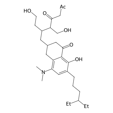 CCC(CC)CCCc1cc(N(C)C)c2c(c1O)C(=O)CC(CC(CCO)C(CO)C(=O)CC(C)=O)C2